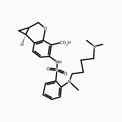 CN(C)CCCCN(C)c1ccccc1S(=O)(=O)Nc1ccc2c(c1C(=O)O)OCC1C[C@H]21